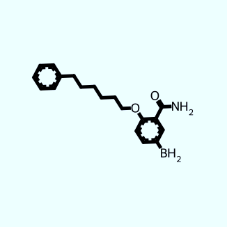 Bc1ccc(OCCCCCCc2ccccc2)c(C(N)=O)c1